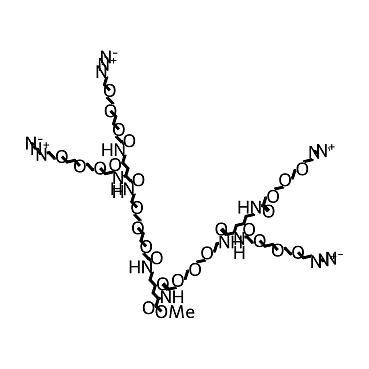 C=[N+]=NCCOCCOCCOCC(=O)NCCCCC(NC(=O)COCCOCCOCCN=[N+]=[N-])C(=O)NCCOCCOCCOCC(=O)NC(CCCCNC(=O)COCCOCCOCCNC(=O)C(CCCNC(=O)COCCOCCOCCN=[N+]=[N-])NC(=O)COCCOCCOCCN=[N+]=[N-])C(=O)OC